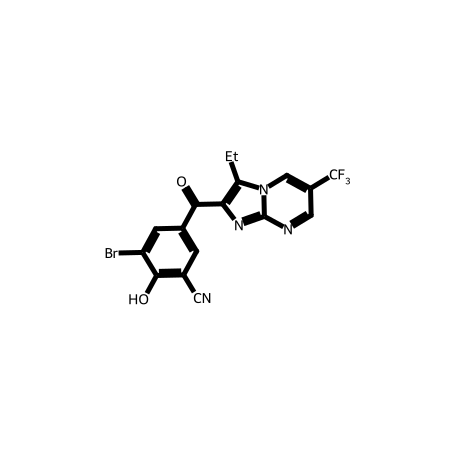 CCc1c(C(=O)c2cc(Br)c(O)c(C#N)c2)nc2ncc(C(F)(F)F)cn12